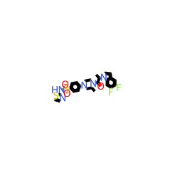 CC1CN(c2ccc(S(=O)(=O)Nc3nccs3)cc2)CCN1C(=O)C(C)n1ccc2cc(F)c(F)cc21